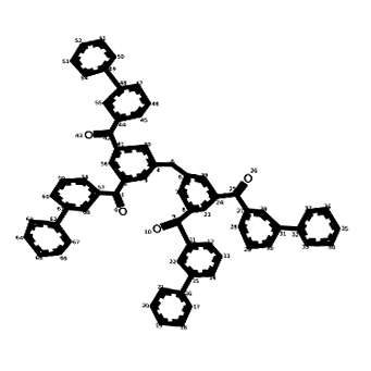 O=C(c1cc(Cc2cc(C(=O)c3cccc(-c4ccccc4)c3)cc(C(=O)c3cccc(-c4ccccc4)c3)c2)cc(C(=O)c2cccc(-c3ccccc3)c2)c1)c1cccc(-c2ccccc2)c1